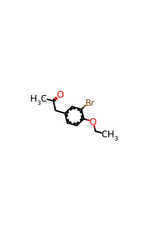 CCOc1ccc(CC(C)=O)cc1Br